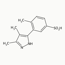 Cc1ccc(S(=O)(=O)O)cc1-c1[nH]nc(C)c1C